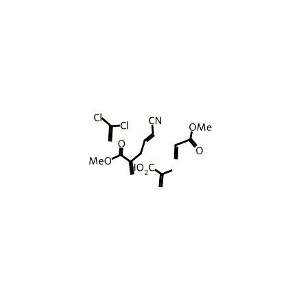 C=C(C)C(=O)O.C=C(CC=CC#N)C(=O)OC.C=C(Cl)Cl.C=CC(=O)OC